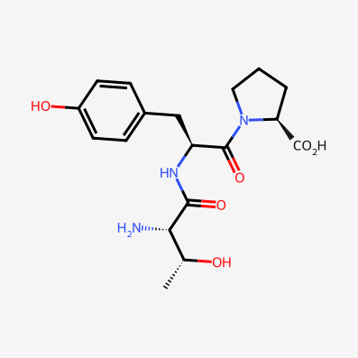 C[C@@H](O)[C@H](N)C(=O)N[C@@H](Cc1ccc(O)cc1)C(=O)N1CCC[C@H]1C(=O)O